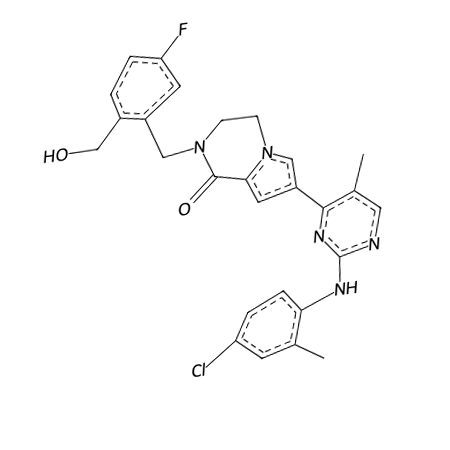 Cc1cc(Cl)ccc1Nc1ncc(C)c(-c2cc3n(c2)CCN(Cc2cc(F)ccc2CO)C3=O)n1